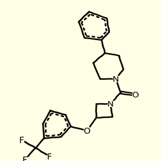 O=C(N1CCC(c2ccccc2)CC1)N1CC(Oc2cccc(C(F)(F)F)c2)C1